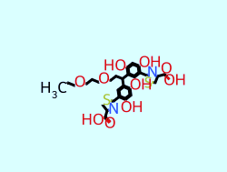 CCCOCCCOCCC(c1cc(C2=NC(C(=O)O)CS2)c(O)cc1O)c1cc(C2=NC(C(=O)O)CS2)c(O)cc1O